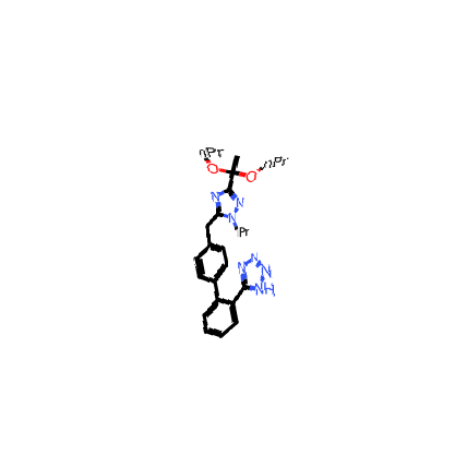 CCCOC(C)(OCCC)c1nc(Cc2ccc(-c3ccccc3-c3nnn[nH]3)cc2)n(C(C)C)n1